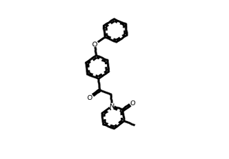 Cc1cccn(CC(=O)c2ccc(Oc3ccccc3)cc2)c1=O